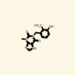 Cn1c(=O)n(Cc2cccc(O)c2C(=O)O)c(=O)c2[nH]cnc21